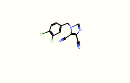 N#Cc1ncn(Cc2ccc(Cl)c(Cl)c2)c1C#N